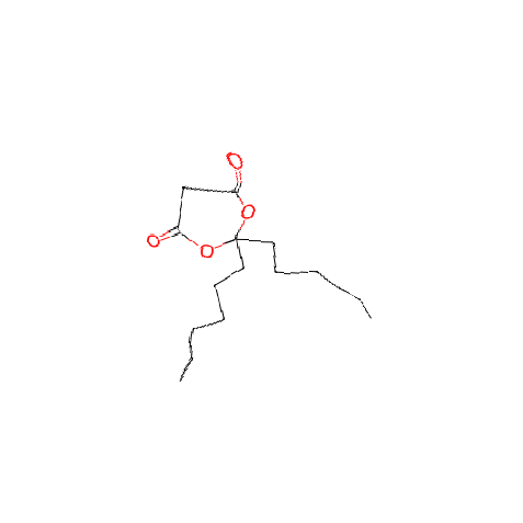 CCCCCCC1(CCCCCC)OC(=O)CC(=O)O1